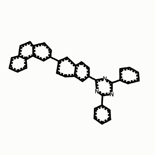 c1ccc(-c2nc(-c3ccccc3)nc(-c3ccc4cc(-c5ccc6ccc7ccccc7c6c5)ccc4c3)n2)cc1